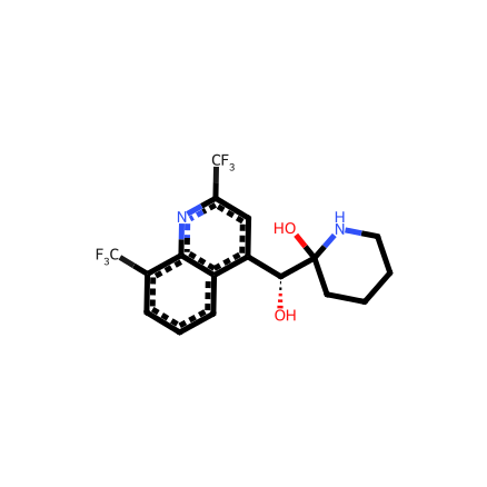 O[C@H](c1cc(C(F)(F)F)nc2c(C(F)(F)F)cccc12)C1(O)CCCCN1